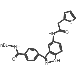 CCCCNC(=O)c1ccc(-c2n[nH]c3ccc(NC(=O)Cc4cccs4)cc23)cc1